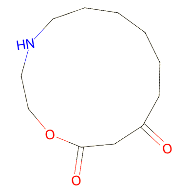 O=C1CCCCCCNCCOC(=O)C1